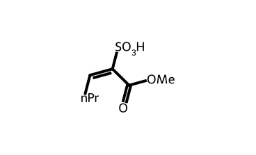 CCCC=C(C(=O)OC)S(=O)(=O)O